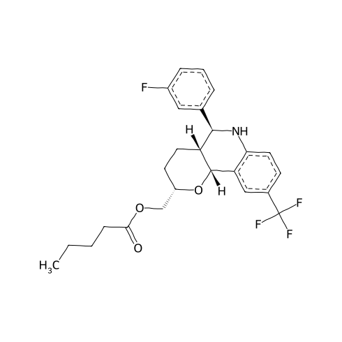 CCCCC(=O)OC[C@@H]1CC[C@@H]2[C@@H](c3cccc(F)c3)Nc3ccc(C(F)(F)F)cc3[C@@H]2O1